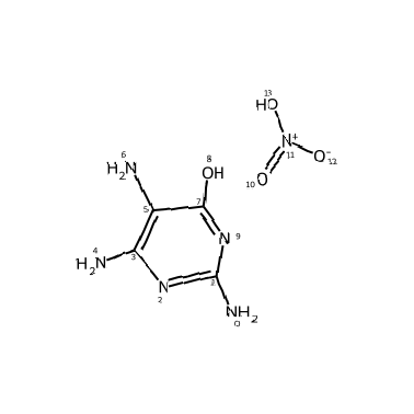 Nc1nc(N)c(N)c(O)n1.O=[N+]([O-])O